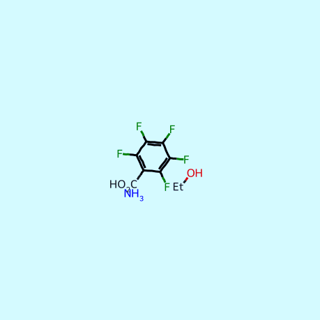 CCO.N.O=C(O)c1c(F)c(F)c(F)c(F)c1F